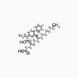 CC(C(=O)O)c1ccc(-c2ccccc2)c(F)c1.CCCCCCCCCCCCCCCC(=O)O